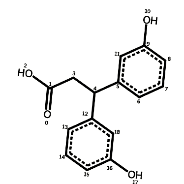 O=C(O)CC(c1cccc(O)c1)c1cccc(O)c1